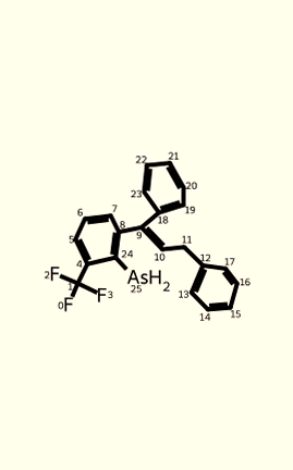 FC(F)(F)c1cccc(C(=CCc2ccccc2)c2ccccc2)c1[AsH2]